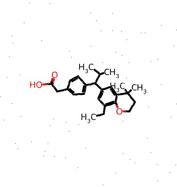 CCc1cc(C(c2ccc(CC(=O)O)cc2)C(C)C)cc2c1OCCC2(C)C